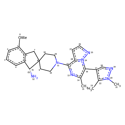 COc1cccc2c1CC1(CCN(c3nc(C)c(-c4cnn(C)c4C)n4nccc34)CC1)[C@@H]2N